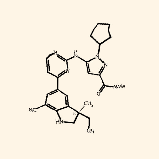 CNC(=O)c1cc(Nc2nccc(-c3cc(C#N)c4c(c3)[C@@](C)(CO)CN4)n2)n(C2CCCC2)n1